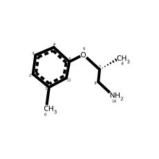 Cc1cccc(O[C@H](C)CN)c1